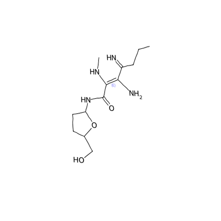 CCCC(=N)/C(N)=C(\NC)C(=O)NC1CCC(CO)O1